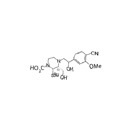 COc1cc(C(O)CN2CCN(C(=O)O)C(C(C)(C)C)[C@H]2CO)ccc1C#N